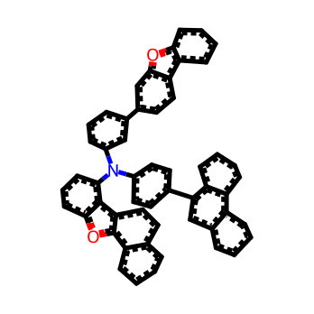 c1cc(-c2ccc3c(c2)oc2ccccc23)cc(N(c2ccc(-c3cc4ccccc4c4ccccc34)cc2)c2cccc3oc4c5ccccc5ccc4c23)c1